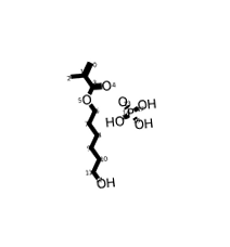 C=C(C)C(=O)OCCCCCCO.O=P(O)(O)O